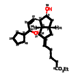 CCOC(=O)CCC/C=C1\C[C@H]2C[C@@H](O)[C@@H](/C=C\[C@@H](O)C3CCCC3)[C@H]2C1